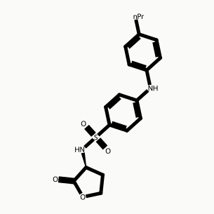 CCCc1ccc(Nc2ccc(S(=O)(=O)N[C@H]3CCOC3=O)cc2)cc1